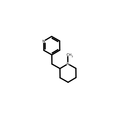 CN1CCC[CH]C1Cc1cccnc1